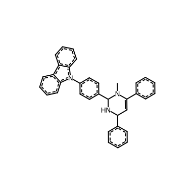 CN1C(c2ccccc2)=CC(c2ccccc2)NC1c1ccc(-n2c3ccccc3c3ccccc32)cc1